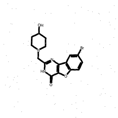 O=c1[nH]c(CN2CCC(O)CC2)nc2c1oc1ccc(Br)cc12